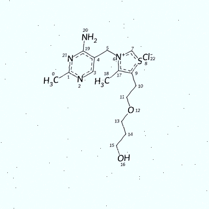 Cc1ncc(C[n+]2csc(CCOCCCO)c2C)c(N)n1.[Cl-]